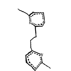 Cc1cccc(CCc2cccc(C)n2)n1